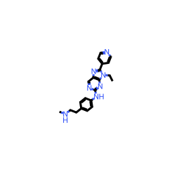 CCn1c(-c2ccncc2)nc2cnc(Nc3ccc(CCNC)cc3)nc21